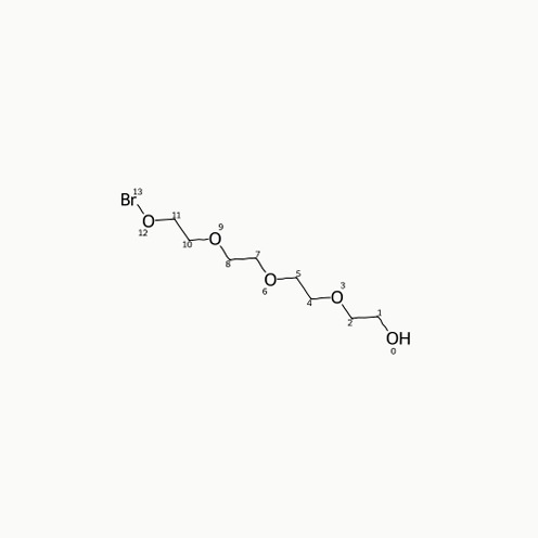 OCCOCCOCCOCCOBr